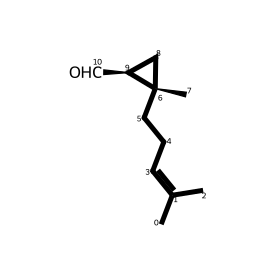 CC(C)=CCC[C@@]1(C)C[C@@H]1C=O